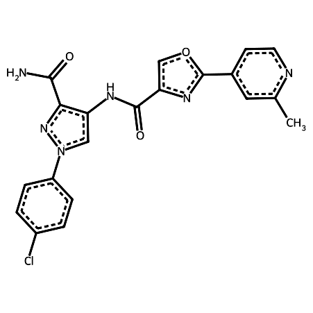 Cc1cc(-c2nc(C(=O)Nc3cn(-c4ccc(Cl)cc4)nc3C(N)=O)co2)ccn1